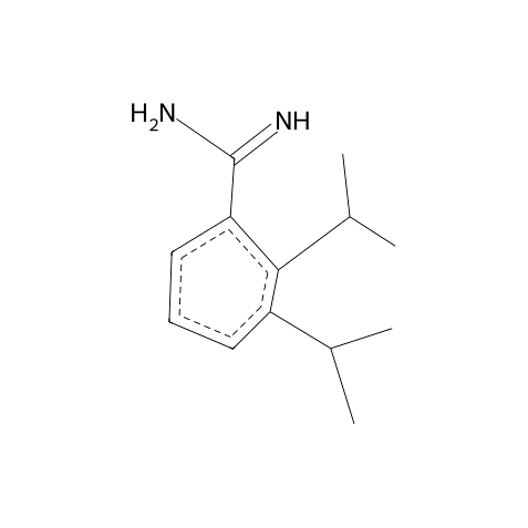 CC(C)c1cccc(C(=N)N)c1C(C)C